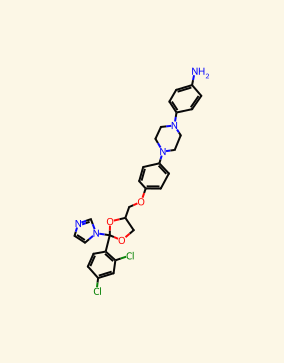 Nc1ccc(N2CCN(c3ccc(OCC4COC(c5ccc(Cl)cc5Cl)(n5ccnc5)O4)cc3)CC2)cc1